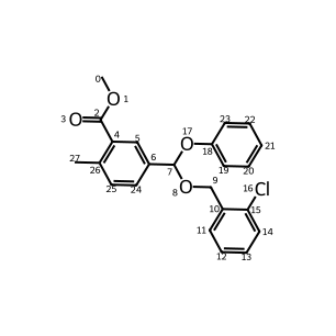 COC(=O)c1cc(C(OCc2ccccc2Cl)Oc2ccccc2)ccc1C